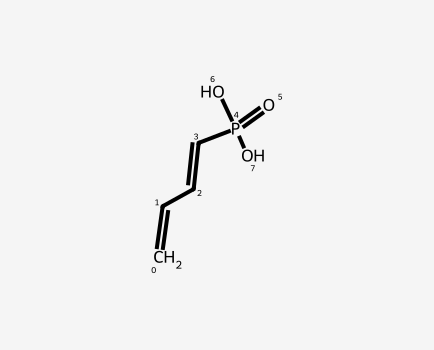 C=CC=CP(=O)(O)O